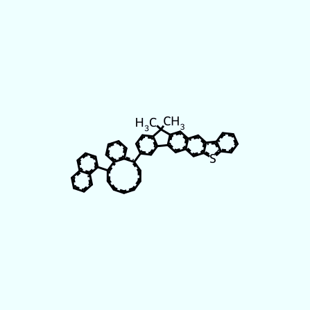 CC1(C)c2ccc(-c3ccccccc(-c4cccc5ccccc45)c4ccccc34)cc2-c2cc3cc4sc5ccccc5c4cc3cc21